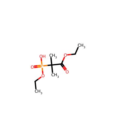 CCOC(=O)C(C)(C)P(=O)(O)OCC